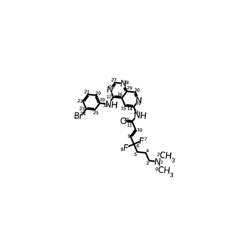 CN(C)CCCC(F)(F)C=CC(=O)Nc1cc2c(Nc3cccc(Br)c3)ncnc2cn1